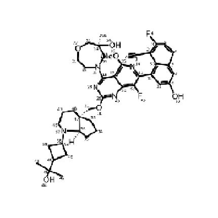 C#Cc1c(F)ccc2cc(O)cc(-c3nc(OC)c4c(N5CCOC[C@@](C)(O)C5)nc(OC[C@]56CCC[C@H]5N(C5CC(C(C)(C)O)C5)CCC6)nc4c3F)c12